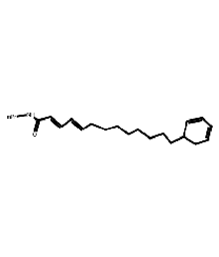 CCCNC(=O)/C=C/C=C/CCCCCCCCC1C=CC=CC1